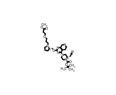 COC(=O)CCOCCCN1CCC[C@H]1COc1nc2c(c(N3CCN(C(=O)OC(C)(C)C)[C@@H](CC#N)C3)n1)CC=NC2